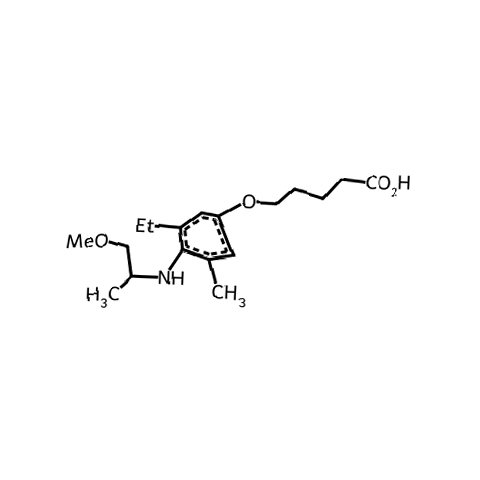 CCc1cc(OCCCCC(=O)O)cc(C)c1NC(C)COC